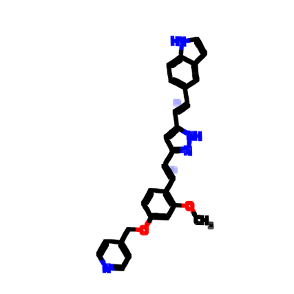 COc1cc(OCc2ccncc2)ccc1/C=C/c1cc(/C=C/c2ccc3[nH]ccc3c2)[nH]n1